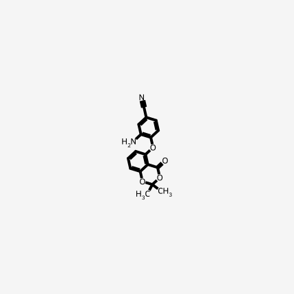 CC1(C)OC(=O)c2c(Oc3ccc(C#N)cc3N)cccc2O1